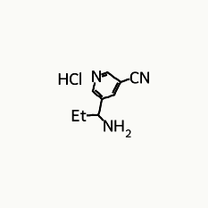 CCC(N)c1cncc(C#N)c1.Cl